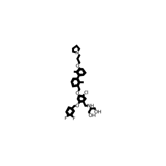 Cc1c(COc2cc(OCc3ccc(F)c(F)c3)c(CNC(CO)CO)cc2Cl)cccc1-c1cccc(OCCCN2CCCC2)c1C